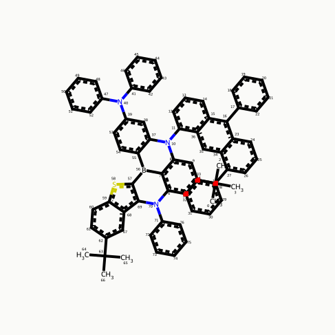 CC(C)(C)c1cc2c3c(c1)N(c1cccc4c(-c5ccccc5)c5cccc(-c6ccccc6)c5cc14)c1cc(N(c4ccccc4)c4ccccc4)ccc1B3c1sc3ccc(C(C)(C)C)cc3c1N2c1ccccc1